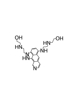 OCCNCCNc1ccc2c3c(c4cnccc4cc13)NN2CCNCCO